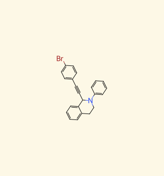 Brc1ccc(C#CC2c3ccccc3CCN2c2ccccc2)cc1